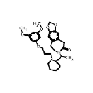 COc1cc(OC)cc(OCCCN2CCCCC2C(C)N2CCc3cc4c(cc3CC2=O)OCO4)c1